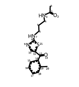 CC(=O)NCCCNc1ncc(C(=O)c2ccccc2C)s1